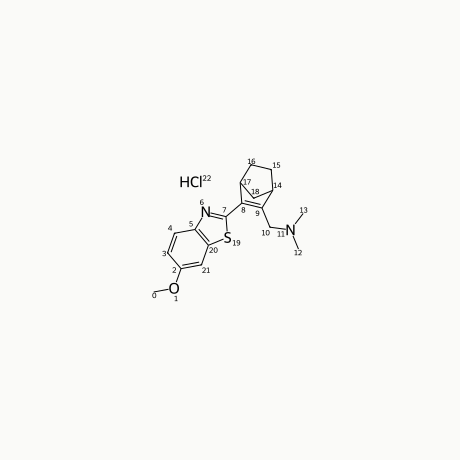 COc1ccc2nc(C3=C(CN(C)C)C4CCC3C4)sc2c1.Cl